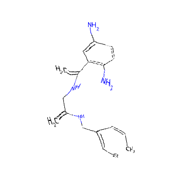 C=C(CNC(=C)c1cc(N)ccc1N)NCC(/C=C\C)=C/CC